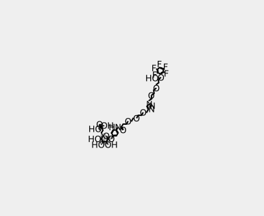 O=C(CCOCCOCCOCc1cn(CCOCCOCCC(O)Oc2c(F)c(F)c(F)c(F)c2F)nn1)Nc1ccc(O[C@H]2O[C@H](CCP(=O)(O)O)[C@@H](O)[C@H](O)[C@@H]2O)cc1